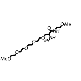 COCCNC(=O)C(COCCOCCOCCOCCOC)NC(C)C